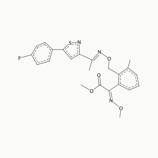 CO/N=C(/C(=O)OC)c1cccc(C)c1CO/N=C(\C)c1cc(-c2ccc(F)cc2)sn1